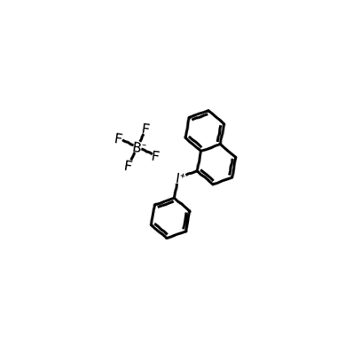 F[B-](F)(F)F.c1ccc([I+]c2cccc3ccccc23)cc1